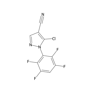 N#Cc1cnn(-c2c(F)c(F)cc(F)c2F)c1Cl